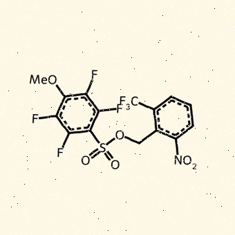 COc1c(F)c(F)c(S(=O)(=O)OCc2c([N+](=O)[O-])cccc2C(F)(F)F)c(F)c1F